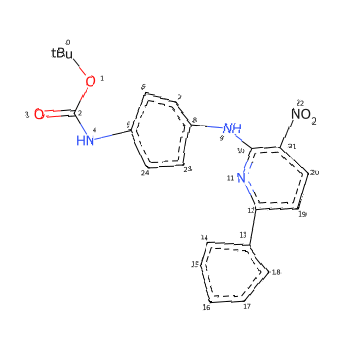 CC(C)(C)OC(=O)Nc1ccc(Nc2nc(-c3ccccc3)ccc2[N+](=O)[O-])cc1